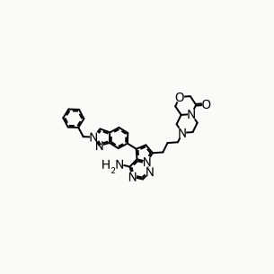 Nc1ncnn2c(CCCN3CCN4C(=O)COCC4C3)cc(-c3ccc4cn(Cc5ccccc5)nc4c3)c12